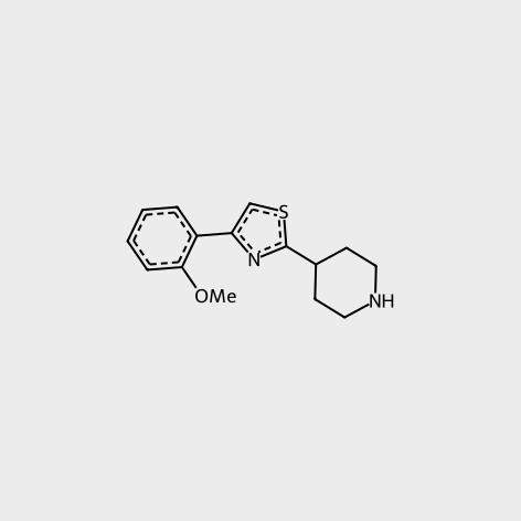 COc1ccccc1-c1csc(C2CCNCC2)n1